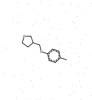 Cc1ccc(OCC2CCOC2)cc1